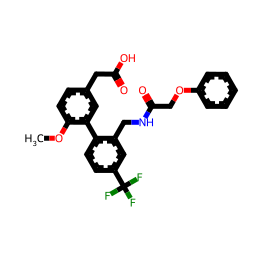 COc1ccc(CC(=O)O)cc1-c1ccc(C(F)(F)F)cc1CNC(=O)COc1ccccc1